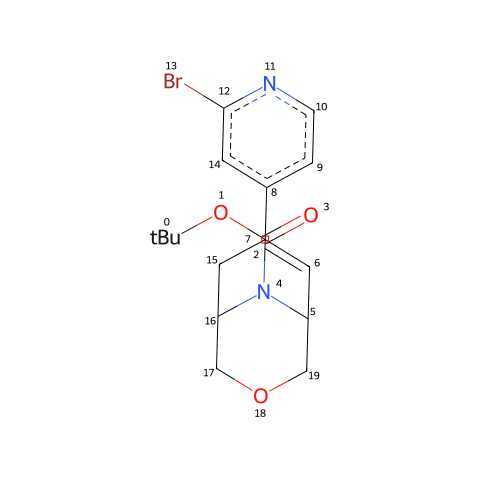 CC(C)(C)OC(=O)N1C2C=C(c3ccnc(Br)c3)CC1COC2